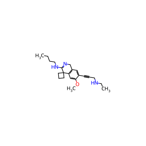 CCCCNC1=NCc2cc(C#CCNCC)c(OC)cc2C12CCC2